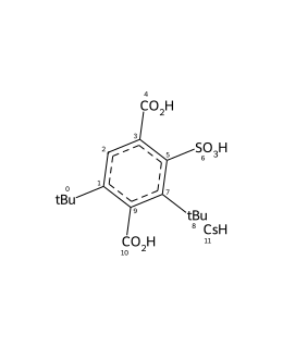 CC(C)(C)c1cc(C(=O)O)c(S(=O)(=O)O)c(C(C)(C)C)c1C(=O)O.[CsH]